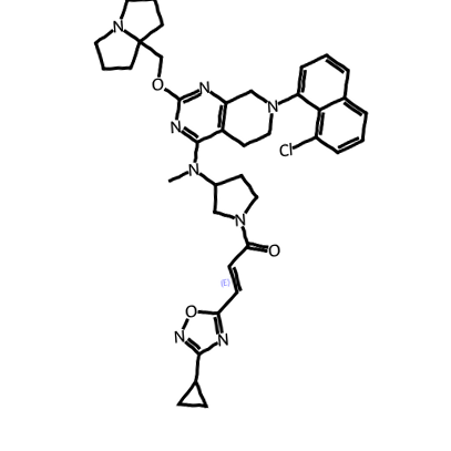 CN(c1nc(OCC23CCCN2CCC3)nc2c1CCN(c1cccc3cccc(Cl)c13)C2)C1CCN(C(=O)/C=C/c2nc(C3CC3)no2)C1